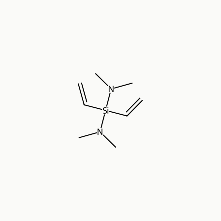 C=C[Si](C=C)(N(C)C)N(C)C